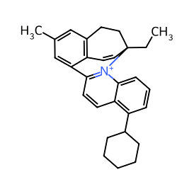 CCC12C=Cc3c(cc(C)cc3-c3ccc4c(C5CCCCC5)cccc4[n+]31)CC2